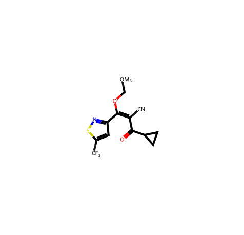 COCOC(=C(C#N)C(=O)C1CC1)c1cc(C(F)(F)F)sn1